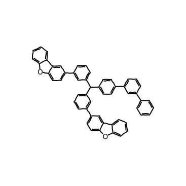 c1ccc(-c2cccc(-c3ccc(C(c4cccc(-c5ccc6oc7ccccc7c6c5)c4)c4cccc(-c5ccc6oc7ccccc7c6c5)c4)cc3)c2)cc1